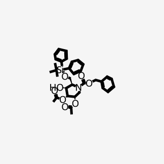 CC(=O)O[C@H]1[C@H](O)[C@@H](CO[Si](c2ccccc2)(c2ccccc2)C(C)(C)C)N(C(=O)OCc2ccccc2)C[C@@H]1OC(C)=O